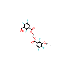 COc1c(F)c(F)cc(C(=O)OCCOC(=O)c2cc(F)c(F)c(CO)c2F)c1F